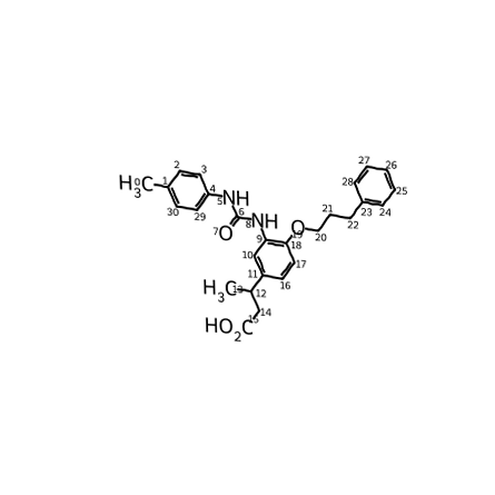 Cc1ccc(NC(=O)Nc2cc(C(C)CC(=O)O)ccc2OCCCc2ccccc2)cc1